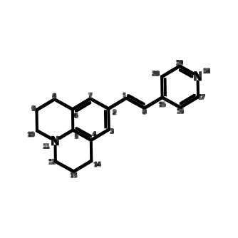 C(=C\c1cc2c3c(c1)CCCN3CCC2)/c1ccncc1